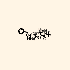 C[C@H](NC(=O)OCc1ccccc1)C(=O)OC(C(=O)NC(C)(C)C)C(Br)(Br)Br